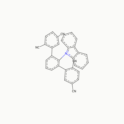 N#Cc1ccc(C#N)c(-c2cccc(-c3cc(C#N)ccc3C#N)c2-n2c3ccccc3c3ccccc32)c1